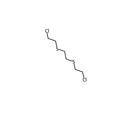 ClCCSCCSCCCl